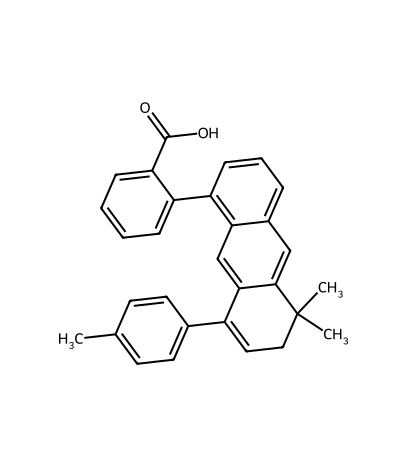 Cc1ccc(C2=CCC(C)(C)c3cc4cccc(-c5ccccc5C(=O)O)c4cc32)cc1